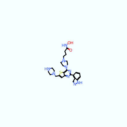 O=C(CCCN1CCN(c2nc(-c3cccc4[nH]ncc34)nc3cc(CN4CCNCC4)sc23)CC1)NO